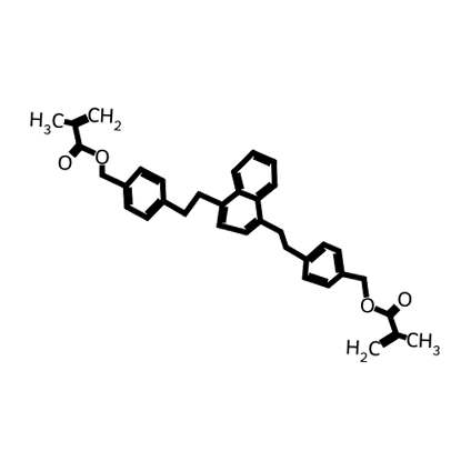 C=C(C)C(=O)OCc1ccc(CCc2ccc(CCc3ccc(COC(=O)C(=C)C)cc3)c3ccccc23)cc1